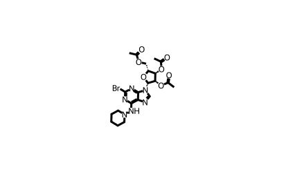 CC(=O)OC[C@H]1O[C@@H](n2cnc3c(NN4CCCCC4)nc(Br)nc32)[C@H](OC(C)=O)[C@@H]1OC(C)=O